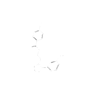 COc1cccc(C2CCCN2CCNC(=O)c2ccc(Cl)cc2)c1